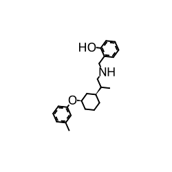 Cc1cccc(O[C@@H]2CCC[C@H](C(C)CNCc3ccccc3O)C2)c1